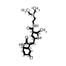 CCN(CC)CCNC(=O)c1cc(/C=C2\C(=O)Nc3ccc(Cl)cc32)[se]c1C